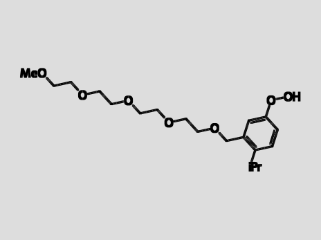 COCCOCCOCCOCCOCc1cc(OO)ccc1C(C)C